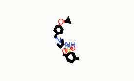 Cc1ccc(C)c(S(=O)(=O)N[C@@H]2CCN(Cc3ccc(OC4CC4)cc3)C2)c1